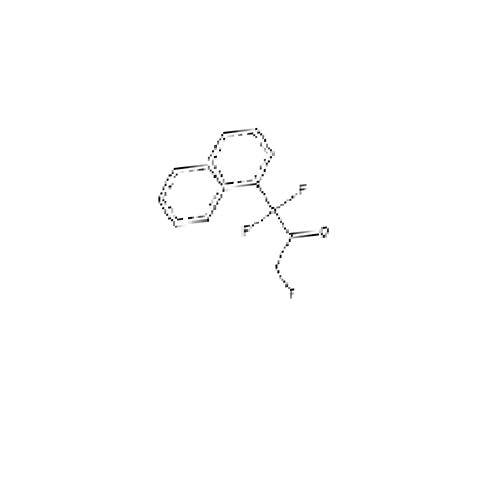 O=C(CF)C(F)(F)c1cccc2ccccc12